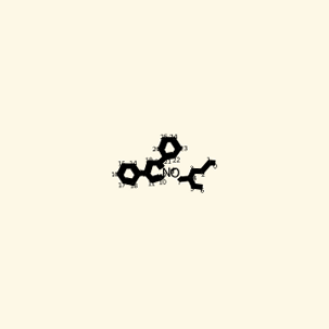 CCCCC(CC)CO[n+]1ccc(-c2ccccc2)cc1-c1ccccc1